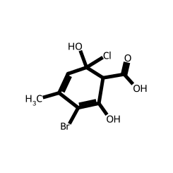 CC1=CC(O)(Cl)C(C(=O)O)C(O)=C1Br